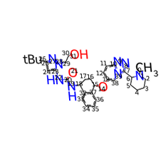 CN1CCCCC1c1nnc2ccc(O[C@@H]3CC[C@H](NC(=O)Nc4cc(C(C)(C)C)nn4CCO)c4ccccc43)cn12